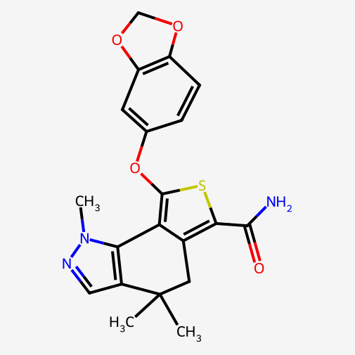 Cn1ncc2c1-c1c(Oc3ccc4c(c3)OCO4)sc(C(N)=O)c1CC2(C)C